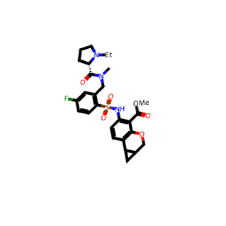 CCN1CCC[C@H]1C(=O)N(C)Cc1cc(F)ccc1S(=O)(=O)Nc1ccc2c(c1C(=O)OC)OCC1CC21